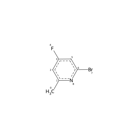 Cc1cc(F)cc(Br)n1